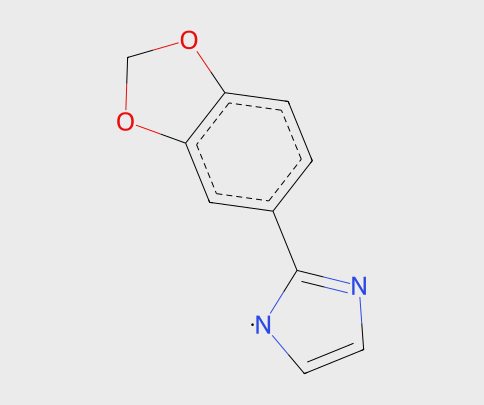 C1=CN=C(c2ccc3c(c2)OCO3)[N]1